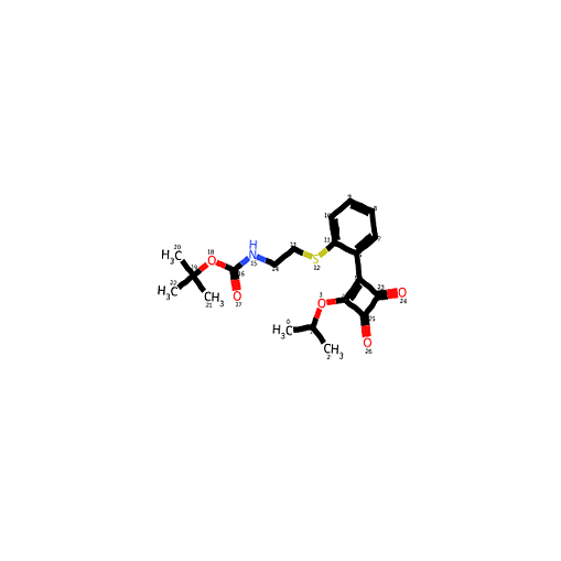 CC(C)Oc1c(-c2ccccc2SCCNC(=O)OC(C)(C)C)c(=O)c1=O